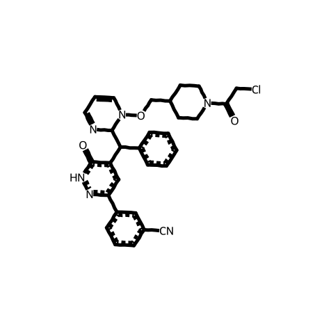 N#Cc1cccc(-c2cc(C(c3ccccc3)C3N=CC=CN3OCC3CCN(C(=O)CCl)CC3)c(=O)[nH]n2)c1